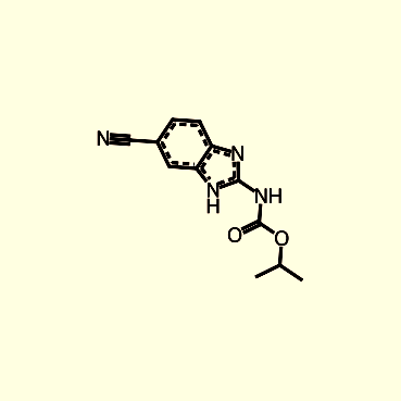 CC(C)OC(=O)Nc1nc2ccc(C#N)cc2[nH]1